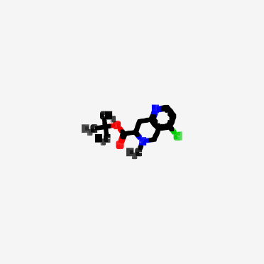 CN1Cc2c(Cl)ccnc2CC1C(=O)OC(C)(C)C